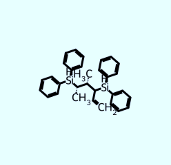 C=CC([C@@H](C)[C@H](C)[SiH](c1ccccc1)c1ccccc1)[SiH](c1ccccc1)c1ccccc1